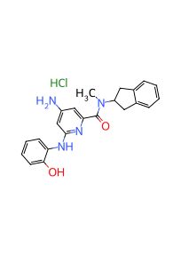 CN(C(=O)c1cc(N)cc(Nc2ccccc2O)n1)C1Cc2ccccc2C1.Cl